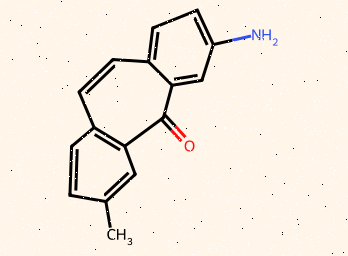 Cc1ccc2ccc3ccc(N)cc3c(=O)c2c1